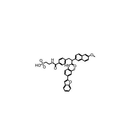 COc1ccc2cc(C(Cc3ccc(C(=O)NCCS(=O)(=O)O)cc3)C(=O)Nc3ccc(-c4cc5ccccc5o4)cc3F)ccc2c1